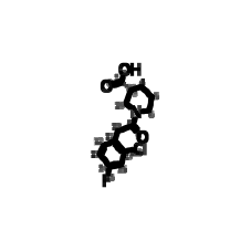 O=C(O)[C@@H]1CCCN(C(=O)Cc2ccc(F)cc2Cl)C1